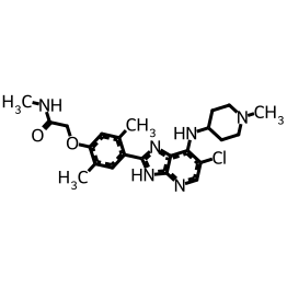 CNC(=O)COc1cc(C)c(-c2nc3c(NC4CCN(C)CC4)c(Cl)cnc3[nH]2)cc1C